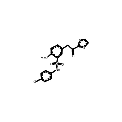 COc1ccc(CC(=O)c2nccs2)cc1S(=O)(=O)Nc1ccc(Cl)cc1